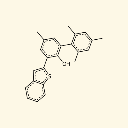 Cc1cc(C)c(-c2cc(C)cc(-c3cc4ccccc4s3)c2O)c(C)c1